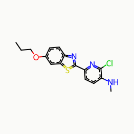 CCCOc1ccc2nc(-c3ccc(NC)c(Cl)n3)sc2c1